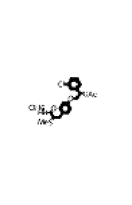 CSC(Cc1ccc(OCC(OC(C)=O)c2cccc(Cl)c2)cc1)C(=O)NC=O